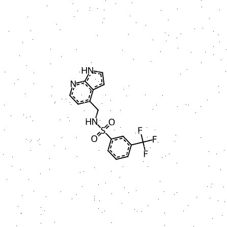 O=S(=O)(NCc1ccnc2[nH]ccc12)c1cccc(C(F)(F)F)c1